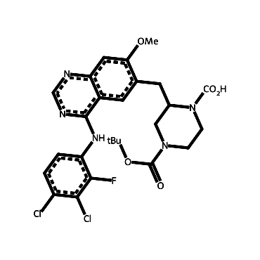 COc1cc2ncnc(Nc3ccc(Cl)c(Cl)c3F)c2cc1CC1CN(C(=O)OC(C)(C)C)CCN1C(=O)O